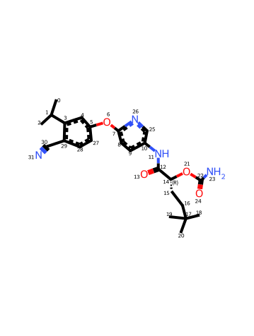 CC(C)c1cc(Oc2ccc(NC(=O)[C@@H](CCC(C)(C)C)OC(N)=O)cn2)ccc1C#N